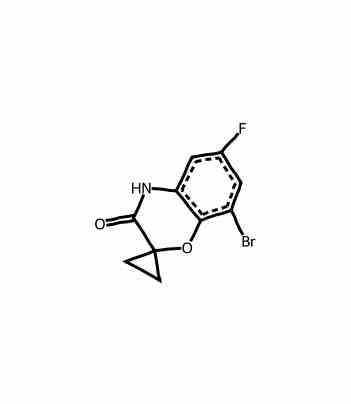 O=C1Nc2cc(F)cc(Br)c2OC12CC2